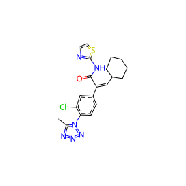 Cc1nnnn1-c1ccc(C(=CC2CCCCC2)C(=O)Nc2nccs2)cc1Cl